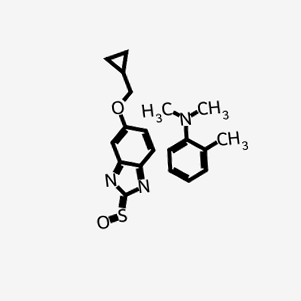 Cc1ccccc1N(C)C.O=S=C1N=c2ccc(OCC3CC3)cc2=N1